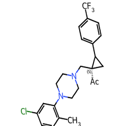 CC(=O)[C@@]1(CN2CCN(c3cc(Cl)ccc3C)CC2)CC1c1ccc(C(F)(F)F)cc1